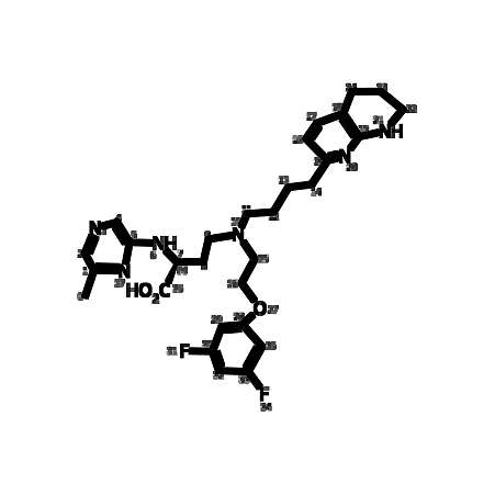 Cc1cncc(N[C@@H](CCN(CCCCc2ccc3c(n2)NCCC3)CCOc2cc(F)cc(F)c2)C(=O)O)n1